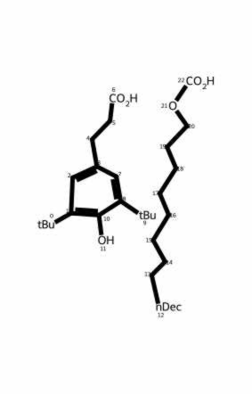 CC(C)(C)c1cc(CCC(=O)O)cc(C(C)(C)C)c1O.CCCCCCCCCCCCCCCCCCOC(=O)O